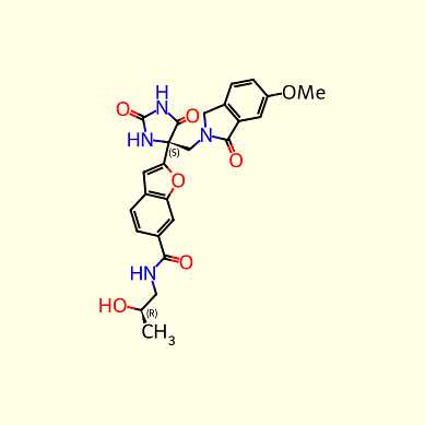 COc1ccc2c(c1)C(=O)N(C[C@@]1(c3cc4ccc(C(=O)NC[C@@H](C)O)cc4o3)NC(=O)NC1=O)C2